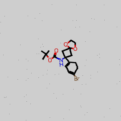 CC(C)(C)OC(=O)NC1(C2=CC=C(Br)CC2)CC2(C1)OCCO2